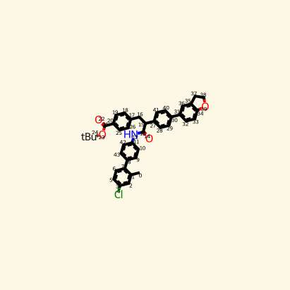 Cc1cc(Cl)ccc1-c1ccc(NC(=O)C(Cc2ccc(C(=O)OC(C)(C)C)cc2)c2ccc(-c3ccc4c(c3)CCO4)cc2)cc1